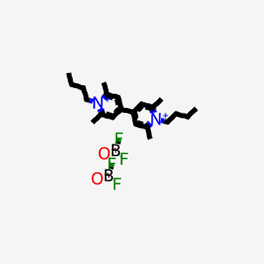 CCCC[n+]1c(C)cc(-c2cc(C)[n+](CCCC)c(C)c2)cc1C.[O-]B(F)F.[O-]B(F)F